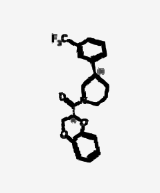 O=C([C@H]1COc2ccccc2O1)N1CCC[C@H](c2cccc(C(F)(F)F)c2)C1